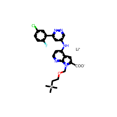 C[Si](C)(C)CCOCn1c(C(=O)[O-])cc2c(Nc3cnnc(-c4cc(Cl)ccc4F)c3)ccnc21.[Li+]